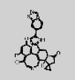 O=C1C=C(F)C2=C(Cl)C=NCC3=C(C2=C1)C(c1ncc(-c2ccn4cnnc4c2)[nH]1)CN1C(=O)CC2(CC2)[C@H]31